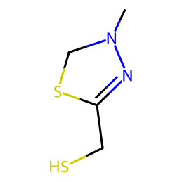 CN1CSC(CS)=N1